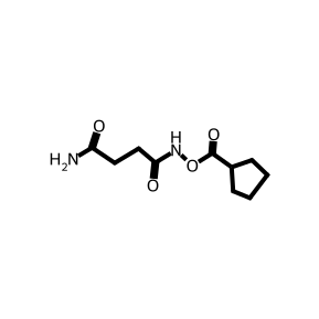 NC(=O)CCC(=O)NOC(=O)C1CCCC1